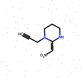 C#CCN1CCCNC1=C[N+](=O)[O-]